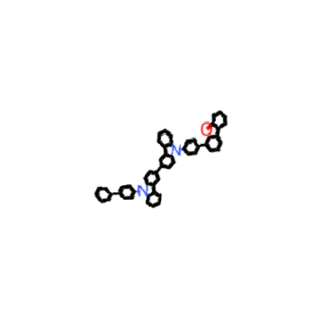 c1ccc(-c2ccc(-n3c4ccccc4c4cc(-c5ccc6c(c5)c5ccccc5n6-c5ccc(-c6cccc7c6oc6ccccc67)cc5)ccc43)cc2)cc1